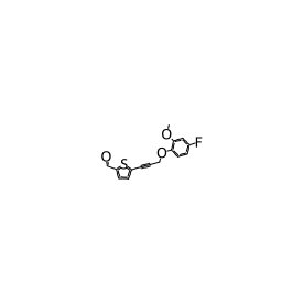 COc1cc(F)ccc1OCC#Cc1ccc(C=O)s1